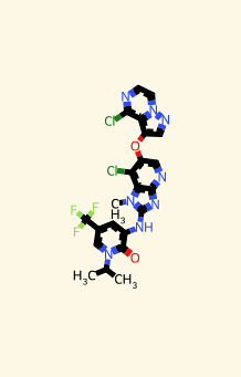 CC(C)n1cc(C(F)(F)F)cc(Nc2nc3ncc(Oc4cnn5ccnc(Cl)c45)c(Cl)c3n2C)c1=O